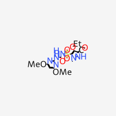 CCOC1=C(S(=O)(=O)NC(=O)Nc2nc(OC)cc(OC)n2)N(C)NC1=C=O